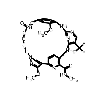 CNC(=O)c1nc2ccc1Nc1nc(ncc1C(F)(F)F)Nc1ccc(cc1OC)C[PH](=O)OCCCn1cc-2c(OC)n1